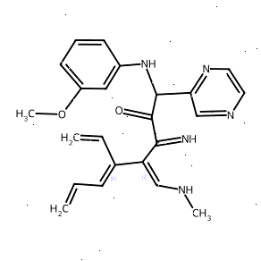 C=C/C=C(C=C)/C(=C/NC)C(=N)C(=O)C(Nc1cccc(OC)c1)c1cnccn1